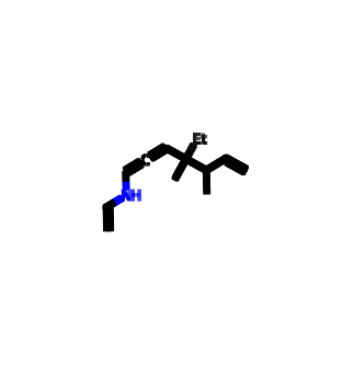 C=CNC=C=CC(C)(CC)C(C)C=C